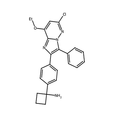 CCOc1cc(Cl)nn2c(-c3ccccc3)c(-c3ccc(C4(N)CCC4)cc3)nc12